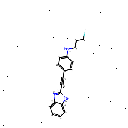 FCCCNc1ccc(C#Cc2nc3ccccc3[nH]2)cc1